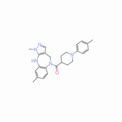 Cc1ccc(N2CCC(C(=O)N3Cc4cnn(C)c4Nc4cc(C)ccc43)CC2)cc1